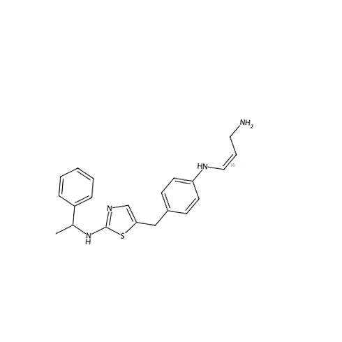 CC(Nc1ncc(Cc2ccc(N/C=C\CN)cc2)s1)c1ccccc1